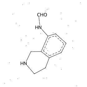 O=CNc1cccc2c1CNCC2